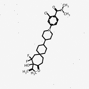 C=C(C)C1(O)C(=O)CCC2(CCC(C3CCN(c4ccc(C(=O)N(C)C)c(Cl)c4)CC3)CC2)CC1(F)F